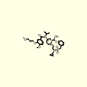 COCCCOc1cc(C(=O)N(C(C)C)[C@@H]2CC[C@H](CCN(C3CC3)S(=O)(=O)Cc3ccccc3)N(C(=O)O)C2)ccc1OC